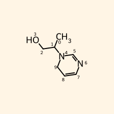 CC(CO)N1C=NC=CC1